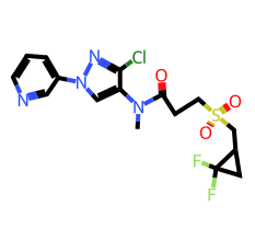 CN(C(=O)CCS(=O)(=O)CC1CC1(F)F)c1cn(-c2cccnc2)nc1Cl